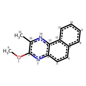 COc1nc2ccc3ccccc3c2nc1C